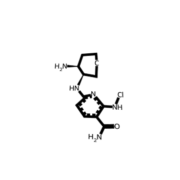 NC(=O)c1ccc(N[C@@H]2CCCC[C@@H]2N)nc1NCl